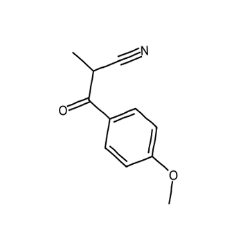 COc1ccc(C(=O)C(C)C#N)cc1